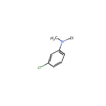 CCN(C)c1cc[c]c(Cl)c1